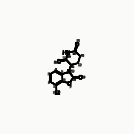 CCc1cccc2c1oc(=O)n2C1CCC(=O)NC1=O